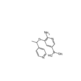 CC(Oc1cc(B(O)O)cnc1N)c1ccncc1